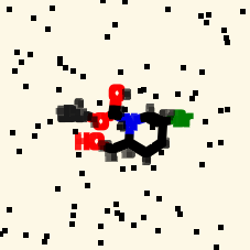 CC(C)(C)OC(=O)N1C=C(Br)CCC1CO